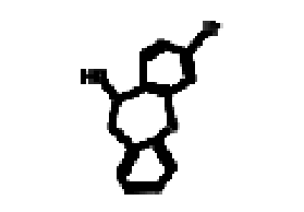 OC1Cc2ccccc2Sc2cc(Br)ccc21